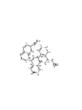 N#Cc1ccc2ccccc2c1.OCC1Cc2c(ccc3ccccc23)C2=C1CCC=C2